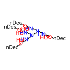 CCCCCCCCCCCCOCC(O)CNCCCN(CCCNCC(O)COCCCCCCCCCCCC)CCCN(CCCNCC(O)COCCCCCCCCCCCC)CCCNCC(O)COCCCCCCCCCCCC